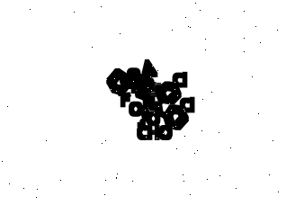 CCC(CN(c1ccccc1F)S(=O)(=O)C1CC1)N1C(=O)[C@@H](CC=O)O[C@H](c2cccc(Cl)c2)[C@H]1c1ccc(Cl)cc1